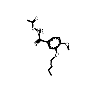 CCCCOc1cc(C(=S)NOC(C)=O)ccc1OC